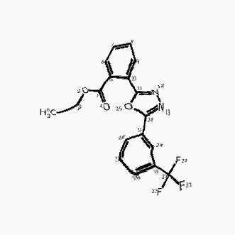 CCOC(=O)c1ccccc1-c1nnc(-c2cccc(C(F)(F)F)c2)o1